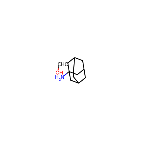 NC12CC3CC(CC(C3)C1)C2.O=CO